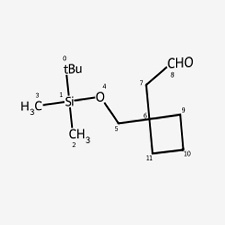 CC(C)(C)[Si](C)(C)OCC1(CC=O)CCC1